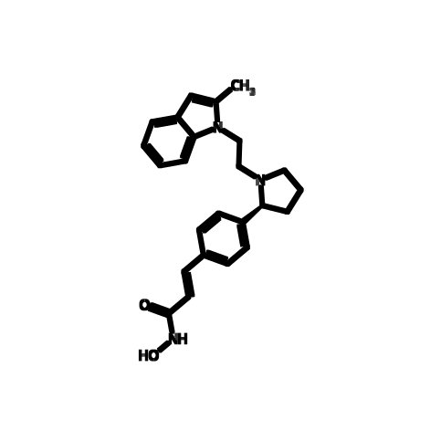 Cc1cc2ccccc2n1CCN1CCC[C@H]1c1ccc(/C=C/C(=O)NO)cc1